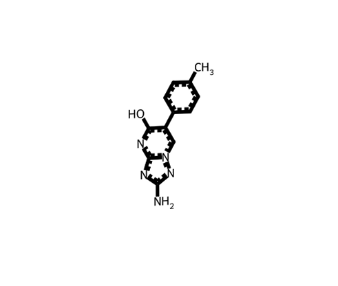 Cc1ccc(-c2cn3nc(N)nc3nc2O)cc1